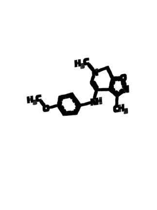 COc1ccc(NC2=CN(C)Cc3onc(C)c32)cc1